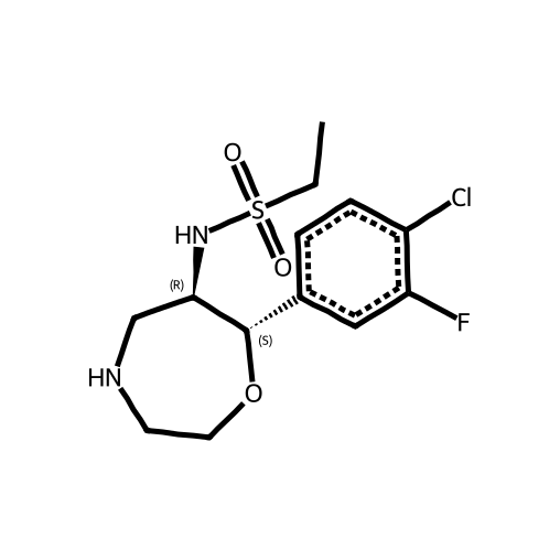 CCS(=O)(=O)N[C@@H]1CNCCO[C@H]1c1ccc(Cl)c(F)c1